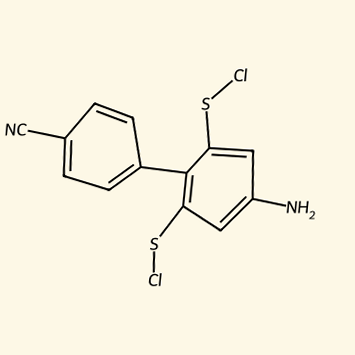 N#Cc1ccc(-c2c(SCl)cc(N)cc2SCl)cc1